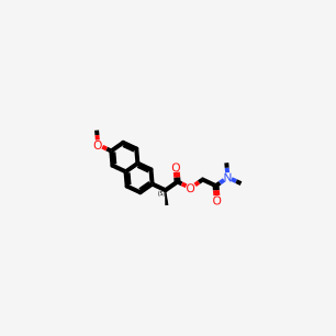 COc1ccc2cc([C@H](C)C(=O)OCC(=O)N(C)C)ccc2c1